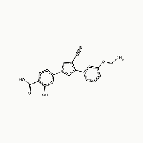 CCOc1cccc(-c2cn(-c3ccc(C(=O)O)c(O)c3)cc2C#N)c1